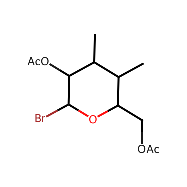 CC(=O)OCC1OC(Br)C(OC(C)=O)C(C)C1C